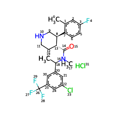 Cc1cc(F)ccc1[C@@H]1CNCC[C@H]1C(=O)N(C)C(C)c1cc(Cl)cc(C(F)(F)F)c1.Cl